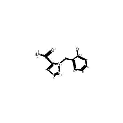 NC(=O)c1cnnn1Cc1ccccc1Cl